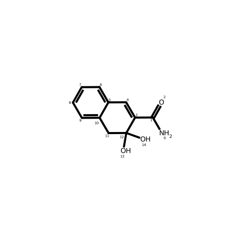 NC(=O)C1=Cc2ccccc2CC1(O)O